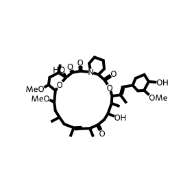 COC1CC(C=C(C)C2OC(=O)C3CCCCN3C(=O)C(=O)C3(O)OC(C(OC)CC(C)CC(C)=CC(C)C(=O)CC(O)C2C)C(OC)CC3C)CCC1O